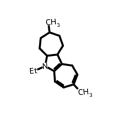 CCN1C2=C(CC=C(C)C=C2)C2CCC(C)CCC21